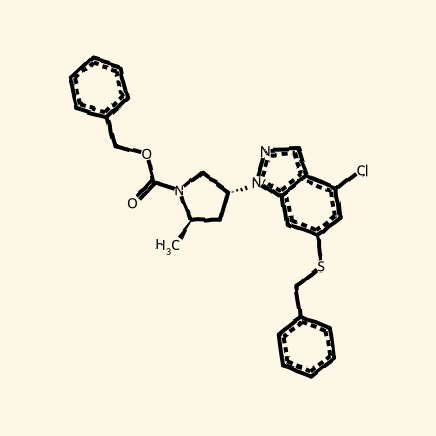 C[C@@H]1C[C@@H](n2ncc3c(Cl)cc(SCc4ccccc4)cc32)CN1C(=O)OCc1ccccc1